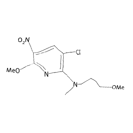 COCCN(C)c1nc(OC)c([N+](=O)[O-])cc1Cl